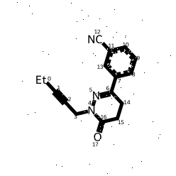 CCC#CCN1N=C(c2cccc(C#N)c2)CCC1=O